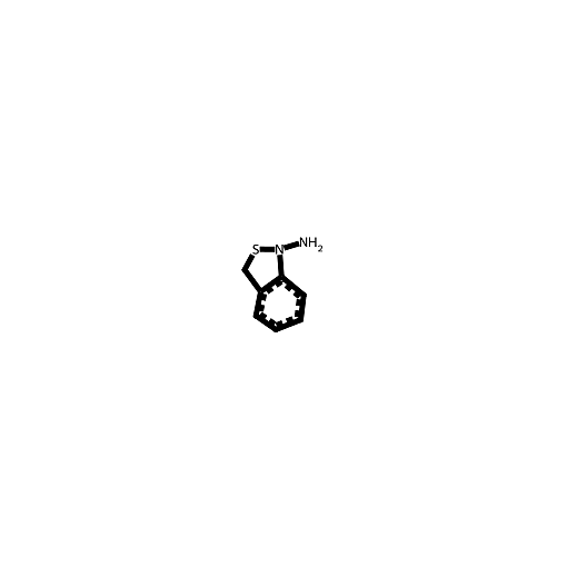 NN1SCc2ccccc21